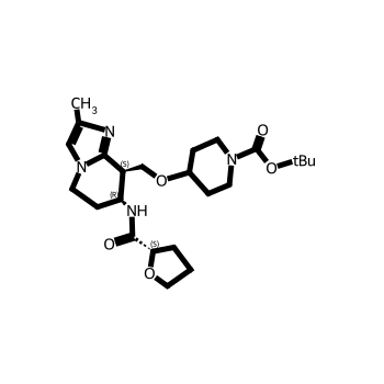 Cc1cn2c(n1)[C@@H](COC1CCN(C(=O)OC(C)(C)C)CC1)[C@H](NC(=O)[C@@H]1CCCO1)CC2